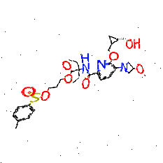 CCC(CC)(NC(=O)c1ccc(N2CC(OC)C2)c(OC[C@H]2C[C@@H]2CO)n1)C(=O)OCCCOS(=O)c1ccc(C)cc1